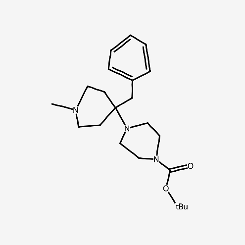 CN1CCC(Cc2ccccc2)(N2CCN(C(=O)OC(C)(C)C)CC2)CC1